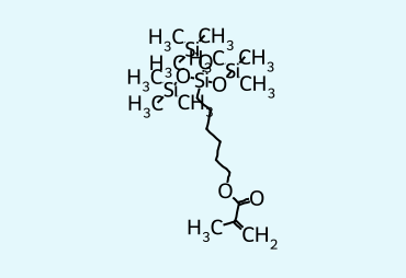 C=C(C)C(=O)OCCCCCC[Si](O[Si](C)(C)C)(O[Si](C)(C)C)O[Si](C)(C)C